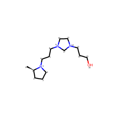 C[C@@H]1CCCN1CCCN1CCN(CCCO)C1